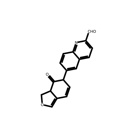 O=Cc1ccc2cc(C3C=CC4=COCC4C3=O)ccc2n1